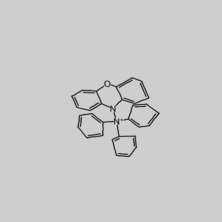 c1ccc([N+](c2ccccc2)(c2ccccc2)N2c3ccccc3Oc3ccccc32)cc1